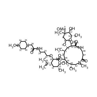 CO[C@]1(C)C[C@H](O[C@H]2[C@H](C)[C@@H](O[C@@H]3O[C@H](C)C[C@H](N(C)C)[C@H]3OCCCNC(=O)CN3CCN(C)CC3)[C@](C)(O)C[C@@H](C)CN(C)C(=O)CCNC(=O)[C@@H]2C)O[C@@H](C)[C@@H]1O